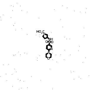 O=C(O)N1CCC(NS(=O)(=O)c2ccc(N3CCOCC3)nc2)C1